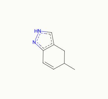 CC1C=Cc2n[nH]cc2C1